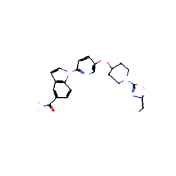 CCc1noc(N2CCC(Oc3ccc(-n4ccc5cc(C(=O)N(C)C)ccc54)nc3)CC2)n1